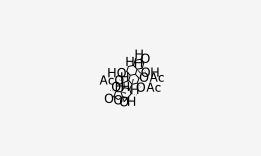 CC(=O)O[C@H]1[C@@H]2[C@H]([C@H](C)[C@H]3O[C@]34OC(=O)[C@@](C)(O)[C@]24C)[C@]2(C)[C@@H]1C1C([C@H](OC(C)=O)[C@@H]2OC(C)=O)[C@]2(C)[C@H](C[C@@H]3O[C@@H]3[C@@H]2O)C[C@@H]1O